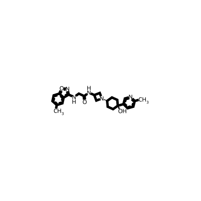 Cc1ccc2onc(NCC(=O)NC3CN([C@H]4CC[C@@](O)(c5ccc(C)nc5)CC4)C3)c2c1